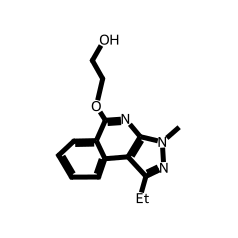 CCc1nn(C)c2nc(OCCO)c3ccccc3c12